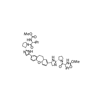 COC(=O)N[C@H](C(=O)N1CCC[C@H]1C1=NCC(C2=CC3CCc4cc(-c5cnc([C@@H]6CCCN6C(=O)[C@@H](NC(=O)OC)C(C)C)[nH]5)ccc4OC3C=C2)N1)C(C)C